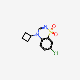 O=S1(=O)N=CN(C2CCC2)c2ccc(Cl)cc21